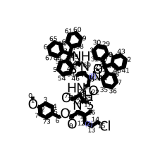 COc1ccc(COC(=O)C2=C(/C=C\CCl)CS[C@@H]3[C@H](NC(=O)/C(=N/OC(c4ccccc4)(c4ccccc4)c4ccccc4)c4csc(NC(c5ccccc5)(c5ccccc5)c5ccccc5)n4)C(=O)N23)cc1